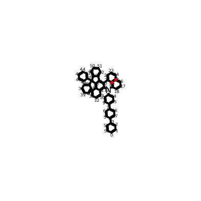 c1ccc(-c2ccc(-c3ccc(N(c4ccccc4)c4c(-c5ccccc5)c5c(c6ccccc46)C(c4ccccc4)(c4ccccc4)c4ccccc4-5)cc3)cc2)cc1